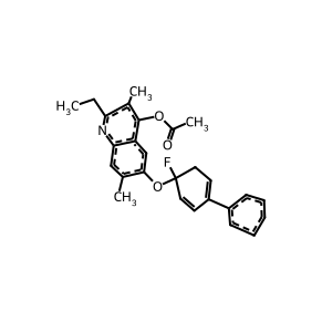 CCc1nc2cc(C)c(OC3(F)C=CC(c4ccccc4)=CC3)cc2c(OC(C)=O)c1C